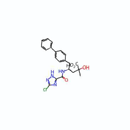 CC(O)(CC(Cc1ccc(-c2ccccc2)cc1)NC(=O)c1nc(Cl)n[nH]1)C(=O)O